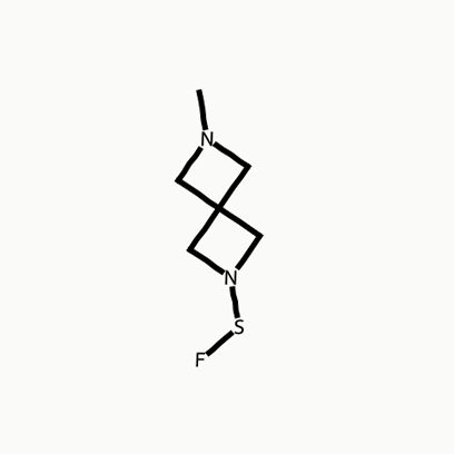 CN1CC2(C1)CN(SF)C2